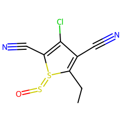 CCC1=C(C#N)C(Cl)=C(C#N)S1=S=O